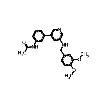 COc1ccc(CNc2cncc(-c3cccc(NC(C)=O)c3)c2)cc1OC